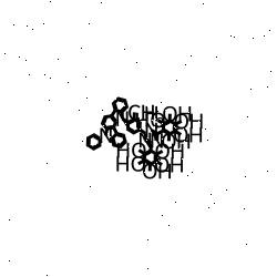 Cc1cc(C2N=C(c3c(O)c(O)c(O)c(O)c3O)N=C(c3c(O)c(O)c(O)c(O)c3O)N2)ccc1-n1c2ccccc2c2ccc3c(c4ccccc4n3-c3ccccc3)c21